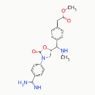 CNC(c1ccc(CC(=O)OC)cc1)C1CN(c2ccc(C(=N)N)cc2)C(=O)O1